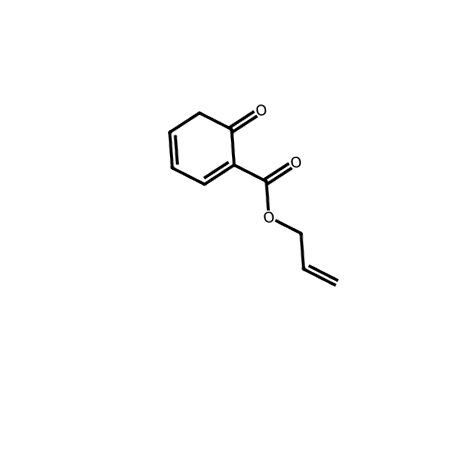 C=CCOC(=O)C1=CC=CCC1=O